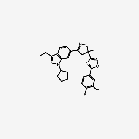 CCc1nn(C2CCCC2)c2cc(C3=NOC(C)(c4noc(-c5ccc(F)c(F)c5)n4)C3)ccc12